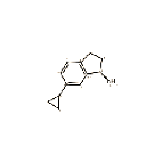 N[C@@H]1CCc2ccc(C3CC3)cc21